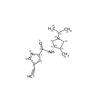 C#Cc1cc(C(=O)N[C@@H]2CN(C(C)C)CC2C)no1